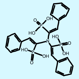 O=P(O)(O)C(=Cc1ccccc1)N(C(=Cc1ccccc1)P(=O)(O)O)C(=Cc1ccccc1)P(=O)(O)O